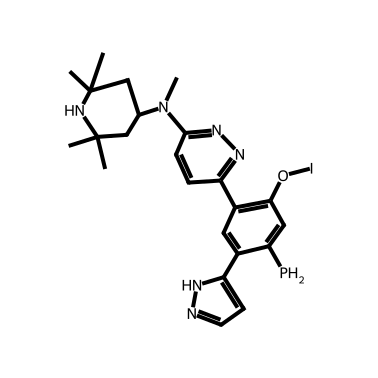 CN(c1ccc(-c2cc(-c3ccn[nH]3)c(P)cc2OI)nn1)C1CC(C)(C)NC(C)(C)C1